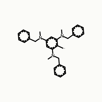 [CH2]c1c(N(C)Cc2ccccc2)cc(N(C)Cc2ccccc2)cc1N(C)Cc1ccccc1